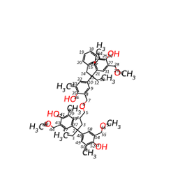 CCC(CCCOCc1cc(C(CC)(Cc2ccccc2)c2cc(C)c(O)c(COC)c2)cc(C)c1O)(c1cc(C)c(O)c(COC)c1)c1cc(C)c(O)c(COC)c1